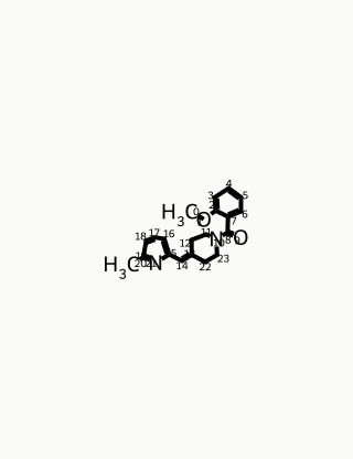 COc1ccccc1C(=O)N1CCC(=Cc2cccc(C)n2)CC1